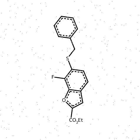 CCOC(=O)c1cc2ccc(SCc3ccccc3)c(F)c2o1